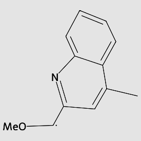 CO[CH]c1cc(C)c2ccccc2n1